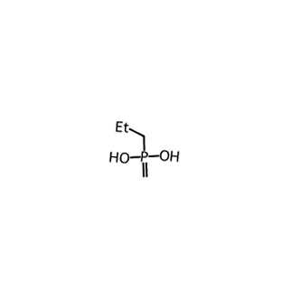 C=P(O)(O)CCC